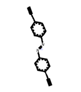 C#Cc1ccc(/N=N/c2ccc(C#C)cc2)cc1